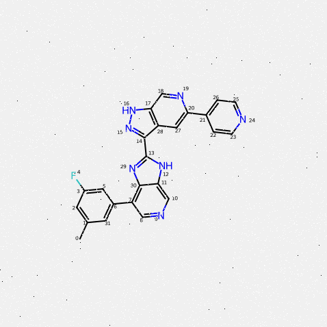 Cc1cc(F)cc(-c2cncc3[nH]c(-c4n[nH]c5cnc(-c6ccncc6)cc45)nc23)c1